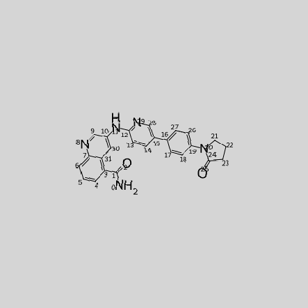 NC(=O)c1cccc2ncc(Nc3ccc(-c4ccc(N5CCCC5=O)cc4)cn3)cc12